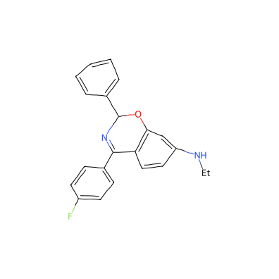 CCNc1ccc2c(c1)OC(c1ccccc1)N=C2c1ccc(F)cc1